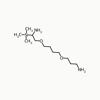 C[Si](C)(C)C(N)COCCCCOCCCN